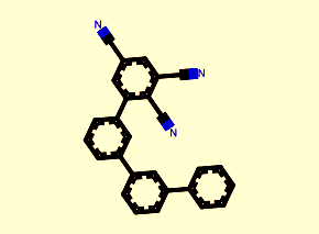 N#Cc1cc(C#N)c(C#N)c(-c2cccc(-c3cccc(-c4ccccc4)c3)c2)c1